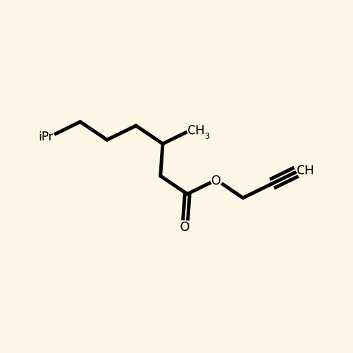 C#CCOC(=O)CC(C)CCCC(C)C